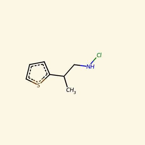 CC(CNCl)c1cccs1